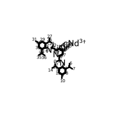 CC(=Nc1c(C(C)C)cc(C)cc1C(C)C)c1cccc(C(C)=Nc2c(C(C)C)cc(C)cc2C(C)C)n1.[Cl-].[Cl-].[Cl-].[Nd+3]